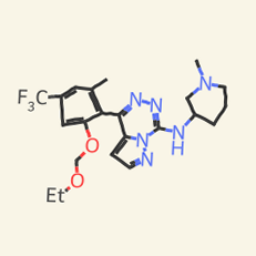 CCOCOc1cc(C(F)(F)F)cc(C)c1-c1nnc(NC2CCCN(C)C2)n2nccc12